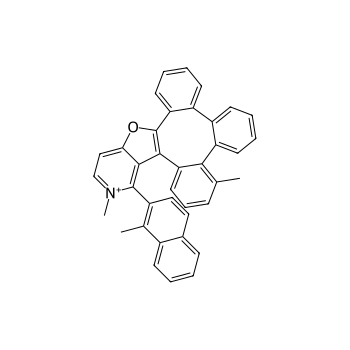 Cc1cccc2c1-c1ccccc1-c1ccccc1-c1oc3cc[n+](C)c(-c4ccc5ccccc5c4C)c3c1-2